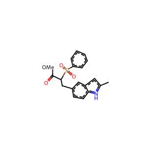 COC(=O)C(Cc1ccc2[nH]c(C)cc2c1)S(=O)(=O)c1ccccc1